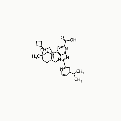 CC(C)c1ccnc(-c2nc3nc(C(=O)O)nc(NCCC4CCC4)c3n2CC2CCC(C)(C)CC2)c1